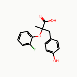 CC(Cc1ccc(O)cc1)(Oc1ccccc1F)C(=O)O